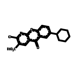 CCOC(=O)c1cc2c(=O)c3cc(C4CCCCC4)ccc3oc2nc1Cl